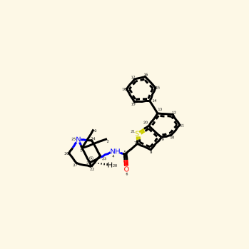 CC1(C)[C@@H](NC(=O)c2cc3cccc(-c4ccccc4)c3s2)C2CCN1CC2